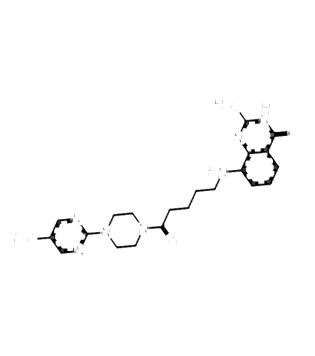 Cc1nc2c(NCCCCC(=O)N3CCN(c4ncc(C(F)(F)F)cn4)CC3)cccc2c(=O)[nH]1